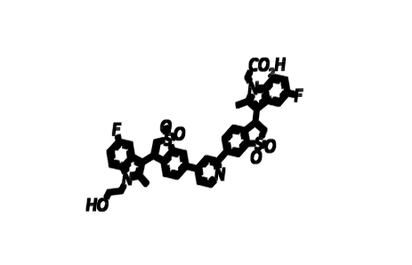 Cc1c(C2=CS(=O)(=O)c3cc(-c4ccnc(-c5ccc6c(c5)S(=O)(=O)CC6c5c(C)n(CC(=O)O)c6ccc(F)cc56)c4)ccc32)c2cc(F)ccc2n1CCO